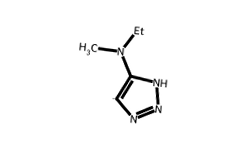 CCN(C)c1[c]nn[nH]1